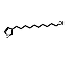 OCCCCCCCCCCc1ccsc1